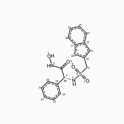 O=C(NO)[C@H](NS(=O)(=O)Cc1cc2ccccc2s1)c1ccccc1